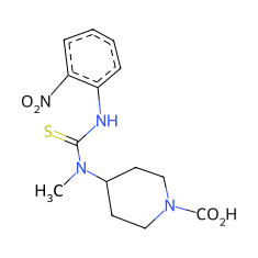 CN(C(=S)Nc1ccccc1[N+](=O)[O-])C1CCN(C(=O)O)CC1